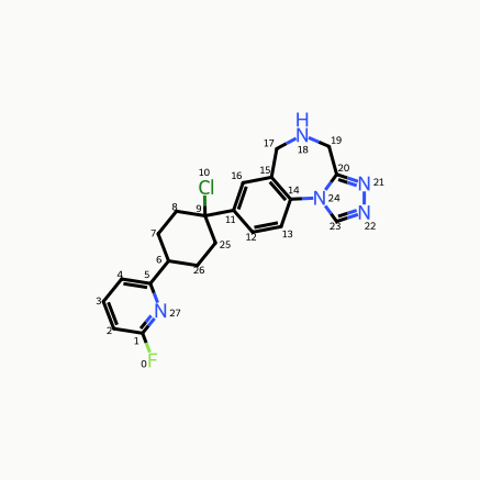 Fc1cccc(C2CCC(Cl)(c3ccc4c(c3)CNCc3nncn3-4)CC2)n1